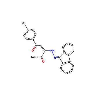 CCc1ccc(C(=O)C=C(NN=C2c3ccccc3-c3ccccc32)C(=O)OC)cc1